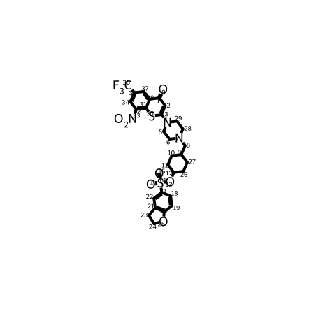 O=c1cc(N2CCN(CC3CCC(OS(=O)(=O)c4ccc5c(c4)CCO5)CC3)CC2)sc2c([N+](=O)[O-])cc(C(F)(F)F)cc12